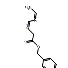 N/C=N\C=N/CC(=O)OCc1ccccc1